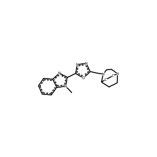 Cn1c(-c2nnc(N3CCN4CCC3CC4)o2)nc2ccccc21